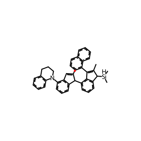 CC1=Cc2c(cccc2N2CCCc3ccccc32)C1c1cccc2c1C(c1cccc3ccccc13)=C(C)C2[SiH](C)C